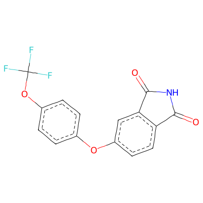 O=C1NC(=O)c2cc(Oc3ccc(OC(F)(F)F)cc3)ccc21